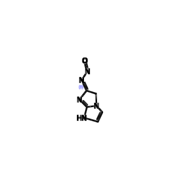 O=N/N=C1\CN2C=CNC2=N1